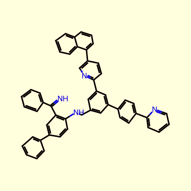 N=C(c1ccccc1)c1cc(-c2ccccc2)ccc1NCc1cc(-c2ccc(-c3ccccn3)cc2)cc(-c2ccc(-c3cccc4ccccc34)cn2)c1